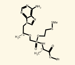 CSSCCOP(=O)(CO[C@H](C)Cn1cnc2c(N)ncnc21)N[C@@H](C)C(=O)OC(C)C